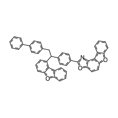 c1ccc(-c2ccc(CC(c3ccc(-c4nc5c(ccc6oc7ccccc7c65)o4)cc3)c3cccc4oc5ccccc5c34)cc2)cc1